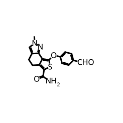 Cn1cc2c(n1)-c1c(Oc3ccc(C=O)cc3)sc(C(N)=O)c1CC2